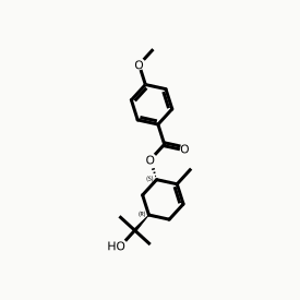 COc1ccc(C(=O)O[C@H]2C[C@H](C(C)(C)O)CC=C2C)cc1